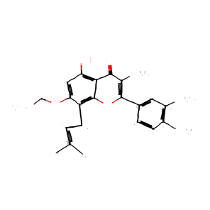 COCOc1cc(O)c2c(=O)c(OC)c(-c3ccc(OC)c(OC)c3)oc2c1CC=C(C)C